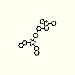 c1ccc(-c2nc3ccccc3c3c(-c4cccc(-c5ccc(-c6nc(-c7ccc8ccccc8c7)nc(-c7ccc8ccccc8c7)n6)cc5)c4)cccc23)cc1